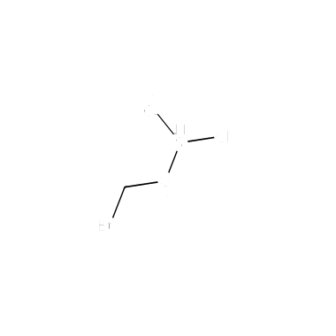 CCCO[SiH](Cl)Cl